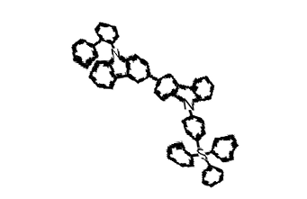 c1ccc(-c2ccccc2-n2c3ccccc3c3cc(-c4ccc5c(c4)c4ccccc4n5-c4ccc(S(c5ccccc5)(c5ccccc5)c5ccccc5)cc4)ccc32)cc1